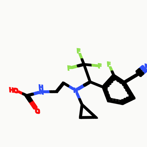 N#Cc1cccc(C(N(CCNC(=O)O)C2CC2)C(F)(F)F)c1F